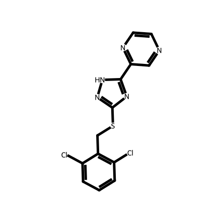 Clc1cccc(Cl)c1CSc1n[nH]c(-c2cnccn2)n1